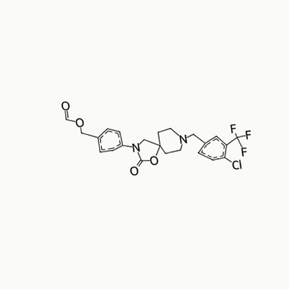 O=COCc1ccc(N2CC3(CCN(Cc4ccc(Cl)c(C(F)(F)F)c4)CC3)OC2=O)cc1